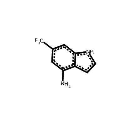 Nc1cc(C(F)(F)F)cc2[nH]ccc12